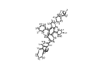 C[Si](C)(C)c1ccc(-c2ccc3c(-c4ccccc4)c4cc(-c5ccc6c(c5)oc5ccccc56)ccc4c(-c4ccccc4)c3c2)cc1